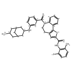 Cc1cccc(F)c1NC(=O)c1cc2c(s1)-c1ccccc1N(C(=O)c1cccc(NC3CC4CC(C)CC(C4)C3)n1)CC2